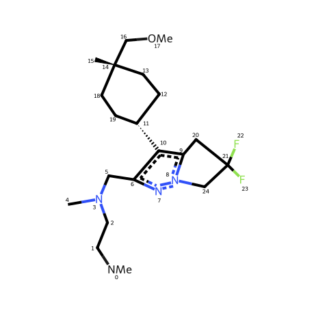 CNCCN(C)Cc1nn2c(c1[C@H]1CC[C@@](C)(COC)CC1)CC(F)(F)C2